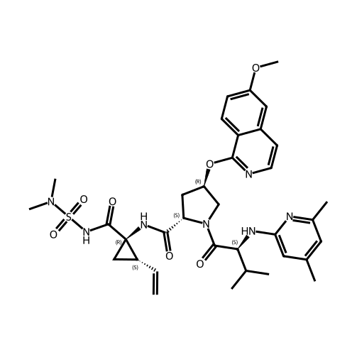 C=C[C@@H]1C[C@]1(NC(=O)[C@@H]1C[C@@H](Oc2nccc3cc(OC)ccc23)CN1C(=O)[C@@H](Nc1cc(C)cc(C)n1)C(C)C)C(=O)NS(=O)(=O)N(C)C